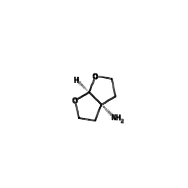 N[C@]12CCO[C@H]1OCC2